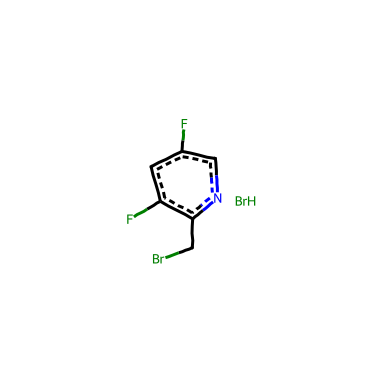 Br.Fc1cnc(CBr)c(F)c1